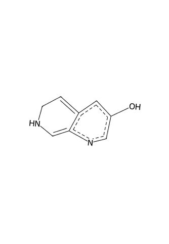 Oc1cnc2c(c1)=CCNC=2